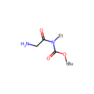 CCN(C(=O)CN)C(=O)OC(C)(C)C